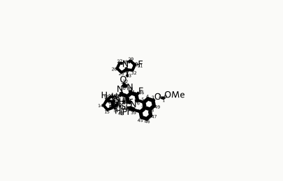 COCOc1cc(-c2ncc3c(N4C[C@H]5CC[C@@H](C4)[C@H]5O)nc(OC[C@@]45CCCN4C[C@H](F)C5)nc3c2F)c2c(C#C[Si](C(C)C)(C(C)C)C(C)C)cccc2c1